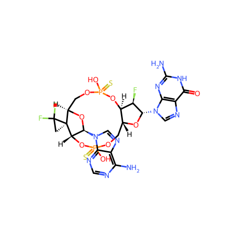 Nc1nc2c(ncn2[C@@H]2O[C@@H]3COP(O)(=S)O[C@H]4[C@H](n5cnc6c(N)ncnc65)O[C@H](COP(O)(=S)O[C@H]3[C@H]2F)[C@@]42CC2(F)F)c(=O)[nH]1